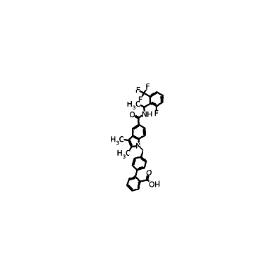 Cc1c(C)n(Cc2ccc(-c3ccccc3C(=O)O)cc2)c2ccc(C(=O)NC(C)c3c(F)cccc3C(F)(F)F)cc12